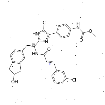 COC(=O)Nc1ccc(-c2nc([C@H](Cc3ccc4c(c3)CC(O)C4)NC(=O)/C=C/c3cccc(Cl)c3)[nH]c2Cl)cc1